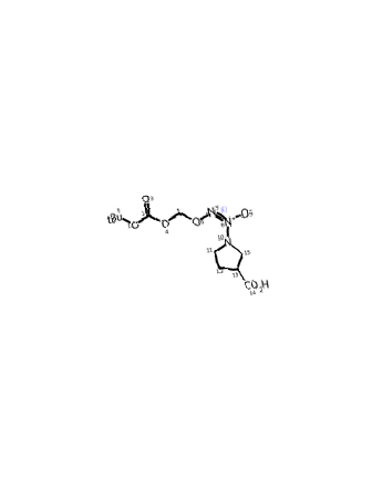 CC(C)(C)OC(=O)OCO/N=[N+](/[O-])N1CCC(C(=O)O)C1